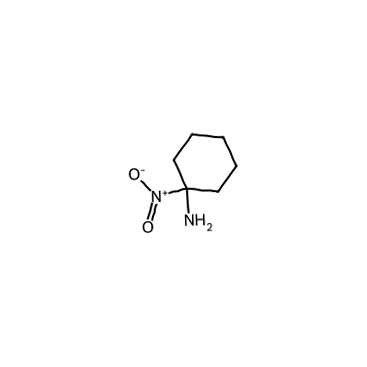 NC1([N+](=O)[O-])CCCCC1